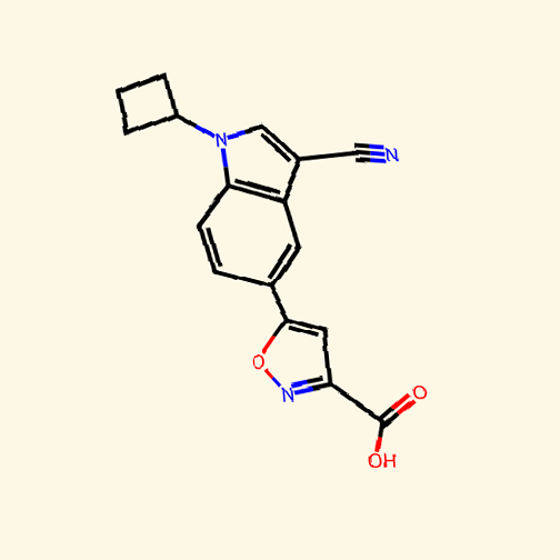 N#Cc1cn(C2CCC2)c2ccc(-c3cc(C(=O)O)no3)cc12